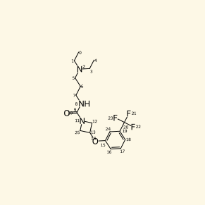 CCN(CC)CCCNC(=O)N1CC(Oc2cccc(C(F)(F)F)c2)C1